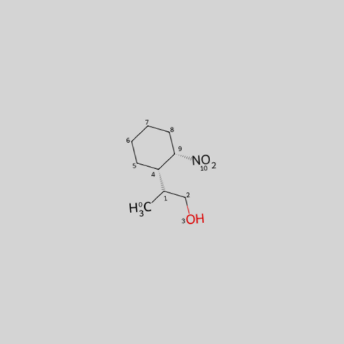 CC(CO)[C@@H]1CCCC[C@@H]1[N+](=O)[O-]